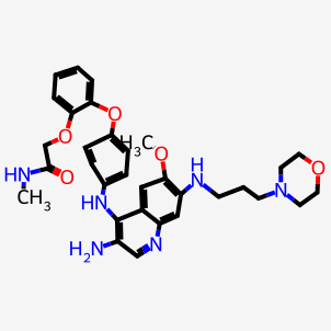 CNC(=O)COc1ccccc1Oc1ccc(Nc2c(N)cnc3cc(NCCCN4CCOCC4)c(OC)cc23)cc1